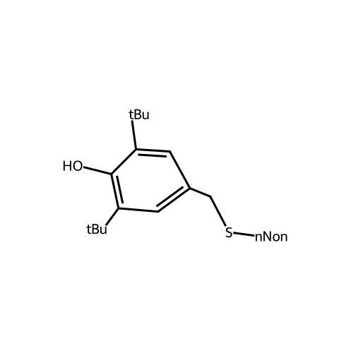 CCCCCCCCCSCc1cc(C(C)(C)C)c(O)c(C(C)(C)C)c1